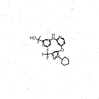 CC(C)(O)c1cc(Nc2cc(Oc3cc(C(F)(F)F)nn3C3CCCCC3)ccn2)ccn1